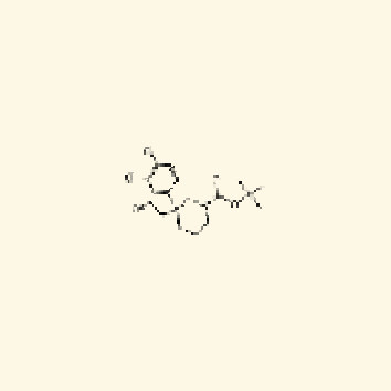 CC(C)(C)OC(=O)N1CCC[C@](CC=O)(c2ccc(Cl)c(Cl)c2)C1